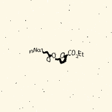 CCCCCCCCCCCC(=O)OCc1ccc(C(=O)OCC)o1